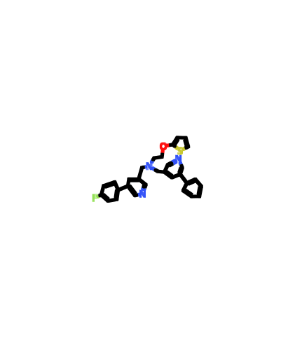 Fc1ccc(-c2cncc(CN(CCOc3cccs3)Cc3cncc(-c4ccccc4)c3)c2)cc1